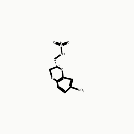 O=[N+]([O-])c1ccc2c(c1)O[C@@H](CN[SH](=O)=O)CO2